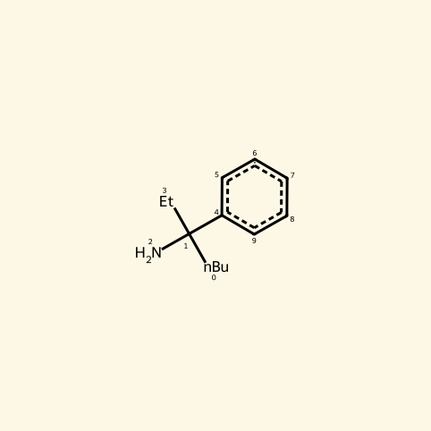 CCCCC(N)(CC)c1c[c]ccc1